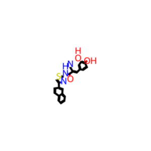 N#C/C(=C\c1ccc(O)c(O)c1)C(=O)Nc1nc(-c2ccc3ccccc3c2)cs1